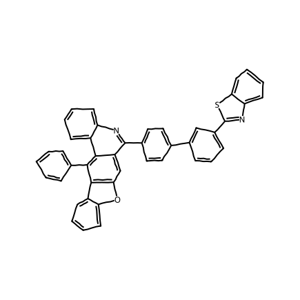 c1ccc(-c2c3c(cc4c(-c5ccc(-c6cccc(-c7nc8ccccc8s7)c6)cc5)nc5ccccc5c24)oc2ccccc23)cc1